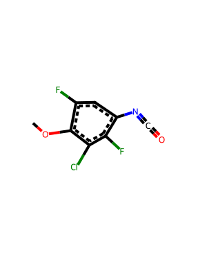 COc1c(F)cc(N=C=O)c(F)c1Cl